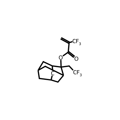 C=C(C(=O)OC1(CC(F)(F)F)C2CC3CC(C2)CC1C3)C(F)(F)F